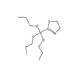 CCCO[Si](OCCC)(OCCC)C1=NCCS1